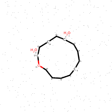 O.O.[CH]1CCCCCCCCOCCCC1